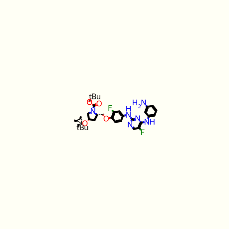 CC(C)(C)OC(=O)N1C[C@H](O[Si](C)(C)C(C)(C)C)C[C@H]1COc1ccc(Nc2ncc(F)c(Nc3cccc(N)c3)n2)cc1F